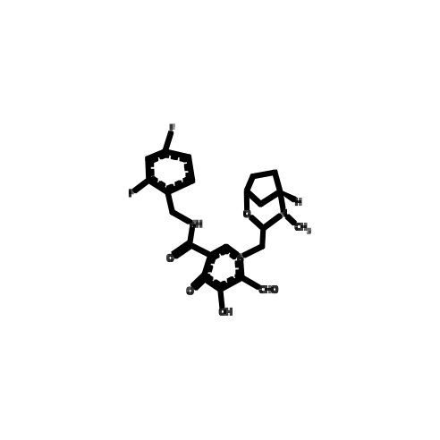 CN1C(Cn2cc(C(=O)NCc3ccc(F)cc3F)c(=O)c(O)c2C=O)OC2CC[C@H]1C2